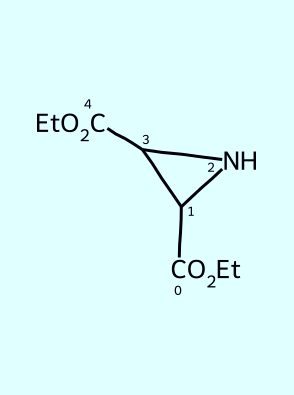 CCOC(=O)C1NC1C(=O)OCC